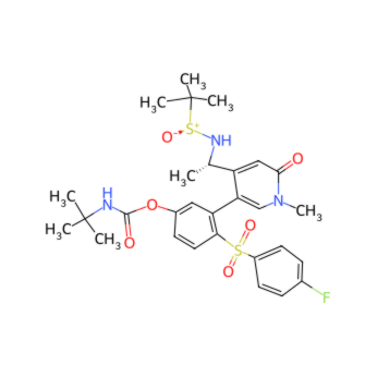 C[C@H](N[S@@+]([O-])C(C)(C)C)c1cc(=O)n(C)cc1-c1cc(OC(=O)NC(C)(C)C)ccc1S(=O)(=O)c1ccc(F)cc1